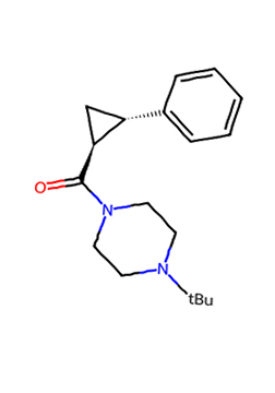 CC(C)(C)N1CCN(C(=O)[C@H]2C[C@@H]2c2ccccc2)CC1